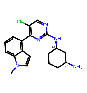 Cn1ccc2c(-c3nc(N[C@@H]4CCC[C@H](N)C4)ncc3Cl)cccc21